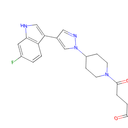 O=C(O)CCC(=O)N1CCC(n2cc(-c3c[nH]c4cc(F)ccc34)cn2)CC1